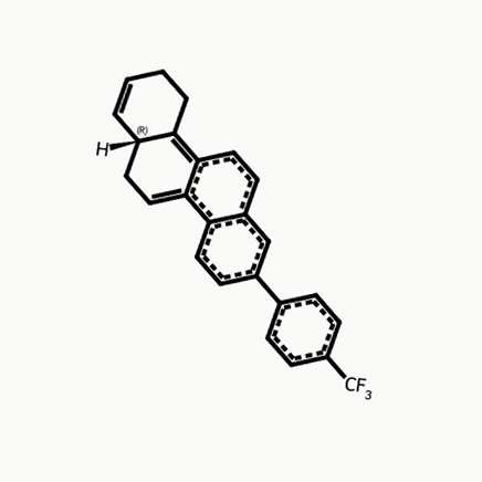 FC(F)(F)c1ccc(-c2ccc3c4c(ccc3c2)=C2CCC=C[C@H]2CC=4)cc1